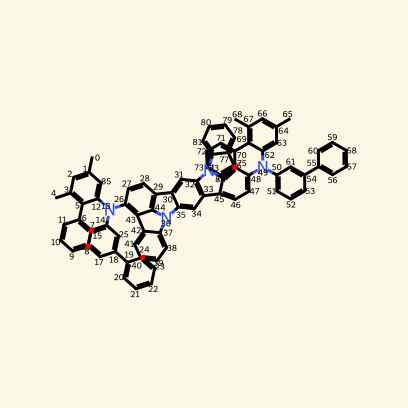 Cc1cc(C)c(-c2ccccc2)c(N(c2cccc(-c3ccccc3)c2)c2ccc3c4cc5c(cc4n4c6ccccc6c2c34)c2ccc(N(c3cccc(-c4ccccc4)c3)c3cc(C)cc(C)c3-c3ccccc3)c3c4ccccc4n5c23)c1